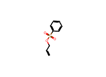 C=CCOS(=O)(=O)c1cc[c]cc1